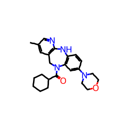 Cc1cnc2c(c1)CN(C(=O)C1CCCCC1)c1cc(N3CCOCC3)ccc1N2